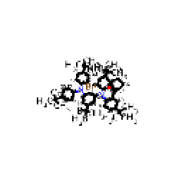 BC(B)(B)c1cc(N(c2ccc(C(C)(C)C)cc2)c2ccc(C(C)(C)C)cc2)cc(N(c2ccc(C(C)(C)C)cc2Br)c2ccc(C(C)(C)C)cc2C2CC3CCC2C3)c1